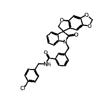 O=C(NCc1ccc(Cl)cc1)c1cccc(CN2C(=O)C3(COc4cc5c(cc43)OCO5)c3ccccc32)c1